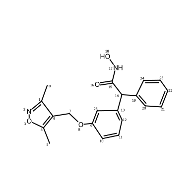 Cc1noc(C)c1COc1cccc(C(C(=O)NO)c2ccccc2)c1